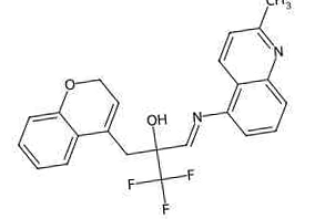 Cc1ccc2c(N=CC(O)(CC3=CCOc4ccccc43)C(F)(F)F)cccc2n1